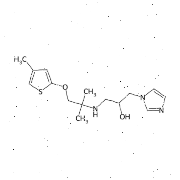 Cc1csc(OCC(C)(C)NCC(O)Cn2ccnc2)c1